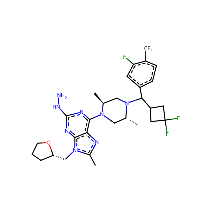 Cc1nc2c(N3C[C@@H](C)N(C(c4ccc(C(F)(F)F)c(F)c4)C4CC(F)(F)C4)C[C@@H]3C)nc(NN)nc2n1C[C@@H]1CCCO1